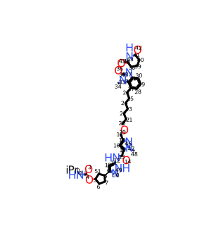 CC(C)NC(=O)O[C@@H]1CC[C@H](c2cc(NC(=O)c3cc(COCCCCCCCc4cccc5c4n(C)c(=O)n5C4CCC(=O)NC4=O)nn3C)[nH]n2)C1